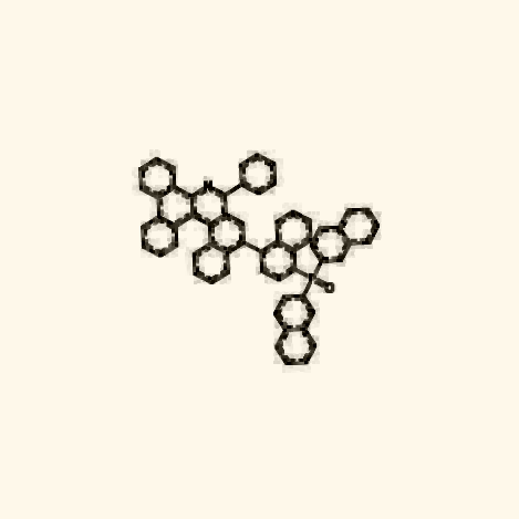 O=P(c1ccc2ccccc2c1)(c1ccc2ccccc2c1)c1ccc(-c2cc3c(-c4ccccc4)nc4c5ccccc5c5ccccc5c4c3c3ccccc23)c2ccccc12